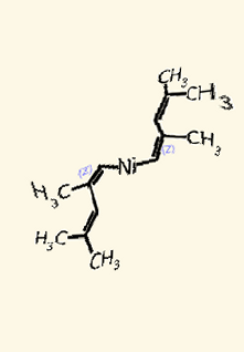 CC(C)=C/C(C)=[CH]\[Ni]/[CH]=C(/C)C=C(C)C